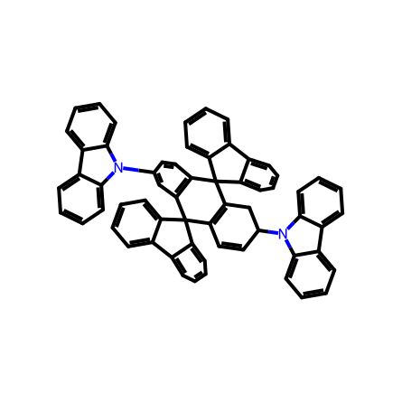 C1=CC(n2c3ccccc3c3ccccc32)CC2=C1C1(c3ccccc3-c3ccccc31)c1cc(-n3c4ccccc4c4ccccc43)ccc1C21c2ccccc2-c2ccccc21